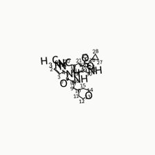 Cn1ccc(NC(=O)[C@H](CC2CCOCC2)Nc2cc(C#N)cc(S(=O)(=O)C3CC3)c2C=N)n1